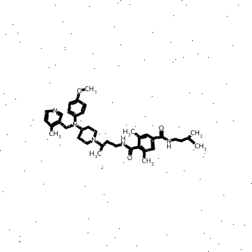 COc1ccc(N(Cc2cnccc2C)C2CCN(C(C)CCNC(=O)c3c(C)cc(C(=O)NCCC(C)C)cc3C)CC2)cc1